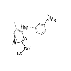 CCNc1ncc(C)c(Nc2cccc(OC)c2)n1